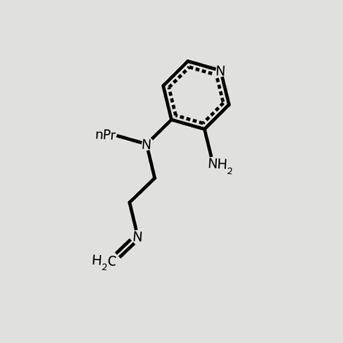 C=NCCN(CCC)c1ccncc1N